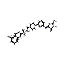 O=C1NC(=O)/C(=C/c2cccc(N3CCC(CNS(=O)(=O)c4ccc5c(Cl)cccc5c4)CC3)n2)S1